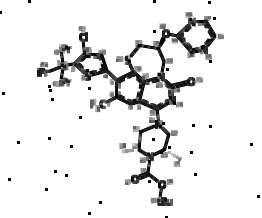 CC(C)[Si](c1sc(-c2c(C(F)(F)F)cc3c(N4C[C@@H](C)N(C(=O)OC(C)(C)C)[C@@H](C)C4)nc(=O)n4c3c2SC[C@@H](Oc2cnccn2)C4)cc1Cl)(C(C)C)C(C)C